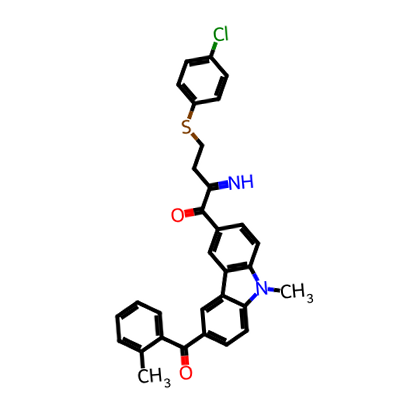 Cc1ccccc1C(=O)c1ccc2c(c1)c1cc(C(=O)C(=N)CCSc3ccc(Cl)cc3)ccc1n2C